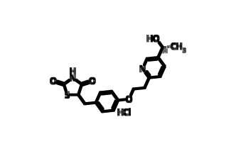 C[C@@H](O)c1ccc(CCOc2ccc(CC3SC(=O)NC3=O)cc2)nc1.Cl